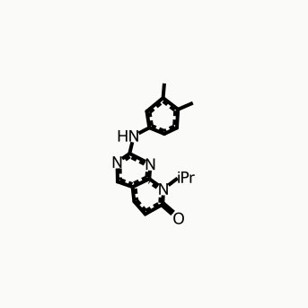 Cc1ccc(Nc2ncc3ccc(=O)n(C(C)C)c3n2)cc1C